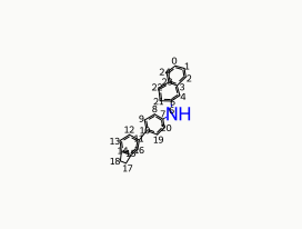 c1ccc2cc(Nc3ccc(-c4ccc5c(c4)CC5)cc3)ccc2c1